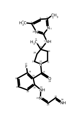 Cc1cc(C)nc(NC2(C)CCN(C(=O)c3c(F)cccc3N/N=C\C=N)CC2)n1